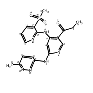 CCC(=O)c1cnc(Nc2ccc(C)nn2)cc1Nc1ncccc1S(C)(=O)=O